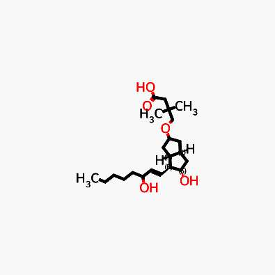 CCCCCC(O)C=C[C@H]1[C@@H]2CC(OCC(C)(C)CC(=O)O)C[C@H]2C[C@@H]1O